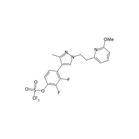 COc1cccc(CCn2cc(-c3ccc(OS(=O)(=O)C(F)(F)F)c(F)c3F)c(C)n2)n1